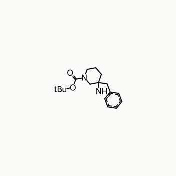 CC(C)(C)OC(=O)N1CCCC(N)(Cc2ccccc2)C1